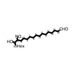 CCCCCCC(O)C(CCCCCCCCCCCCCC=O)[N+](=O)[O-]